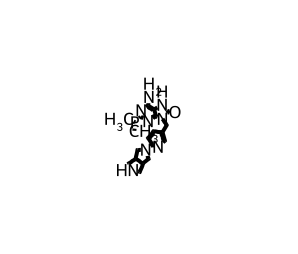 CP(C)c1nc(N)c2[nH]c(=O)n(Cc3ccc(N4CC5CNCC5C4)nc3)c2n1